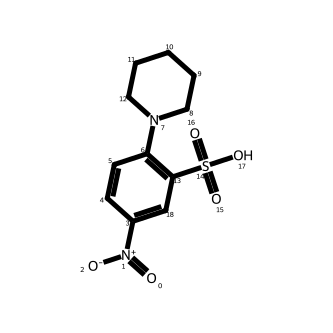 O=[N+]([O-])c1ccc(N2CCCCC2)c(S(=O)(=O)O)c1